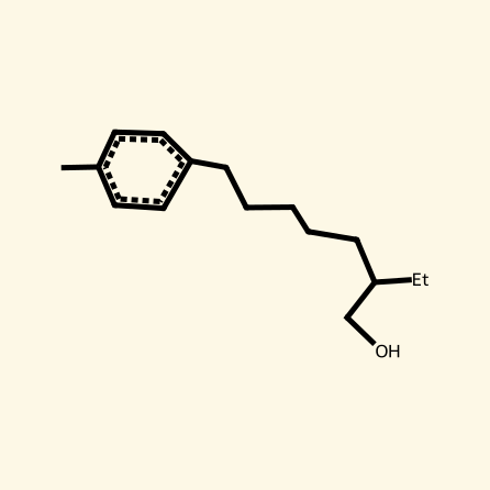 CCC(CO)CCCCCc1ccc(C)cc1